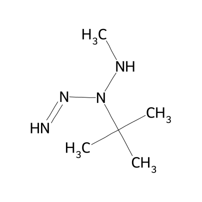 CNN(N=N)C(C)(C)C